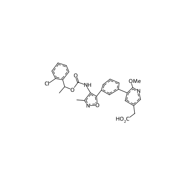 COc1ncc(CC(=O)O)cc1-c1cccc(-c2onc(C)c2NC(=O)OC(C)c2ccccc2Cl)c1